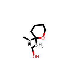 C[SiH](C)C1([SiH2]CO)CCCCO1